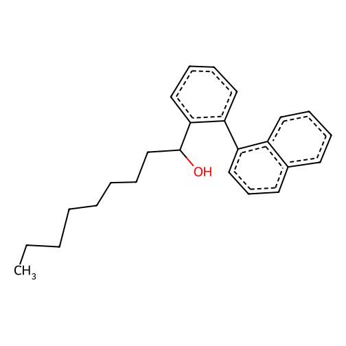 CCCCCCCCC(O)c1ccccc1-c1cccc2ccccc12